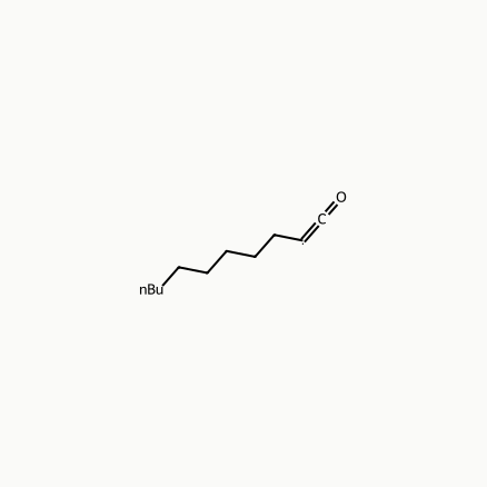 [CH2]CCCCCCCC[C]=C=O